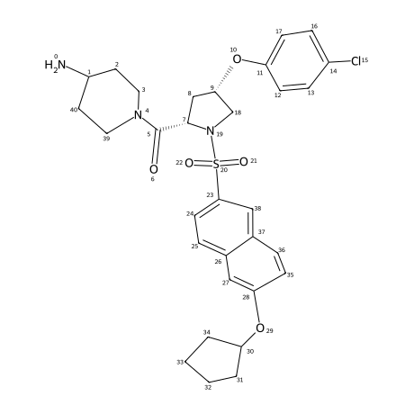 NC1CCN(C(=O)[C@@H]2C[C@H](Oc3ccc(Cl)cc3)CN2S(=O)(=O)c2ccc3cc(OC4CCCC4)ccc3c2)CC1